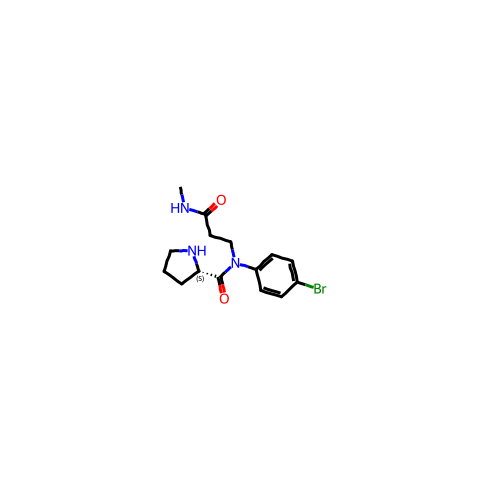 CNC(=O)CCN(C(=O)[C@@H]1CCCN1)c1ccc(Br)cc1